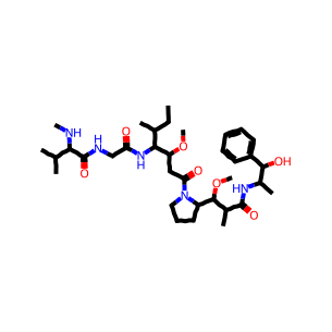 CCC(C)C(NC(=O)CNC(=O)C(NC)C(C)C)C(CC(=O)N1CCCC1C(OC)C(C)C(=O)NC(C)C(O)c1ccccc1)OC